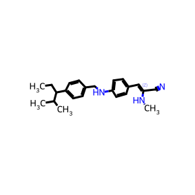 CCC(c1ccc(CNc2ccc(/C=C(/C#N)NC)cc2)cc1)C(C)C